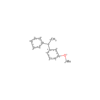 CCCCOc1cccc(C(C)c2ccccc2)c1